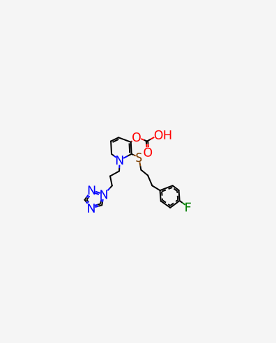 O=C(O)OC1=C(SCCCc2ccc(F)cc2)N(CCCn2cncn2)CC=C1